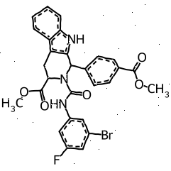 COC(=O)c1ccc(C2c3[nH]c4ccccc4c3CC(C(=O)OC)N2C(=O)Nc2cc(F)cc(Br)c2)cc1